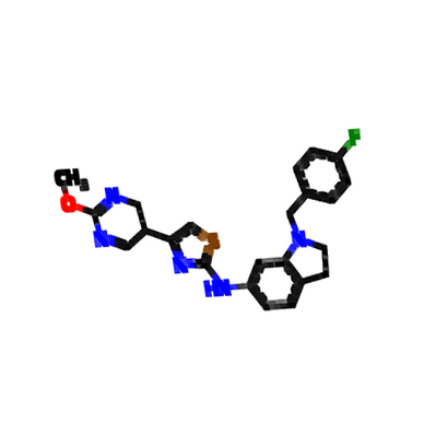 COC1=NCC(c2csc(Nc3ccc4c(c3)N(Cc3ccc(F)cc3)CC4)n2)C=N1